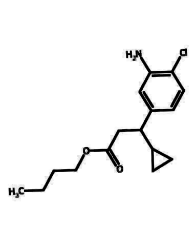 CCCCOC(=O)CC(c1ccc(Cl)c(N)c1)C1CC1